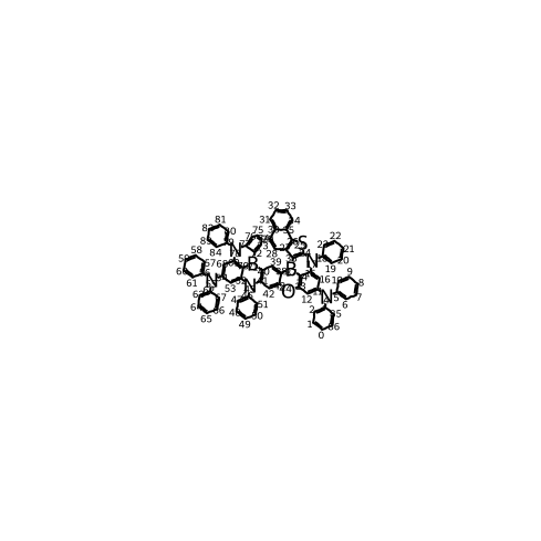 c1ccc(N(c2ccccc2)c2cc3c4c(c2)N(c2ccccc2)c2sc5c(ccc6ccccc65)c2B4c2cc4c(cc2O3)N(c2ccccc2)c2cc(N(c3ccccc3)c3ccccc3)cc3c2B4c2ccccc2N3c2ccccc2)cc1